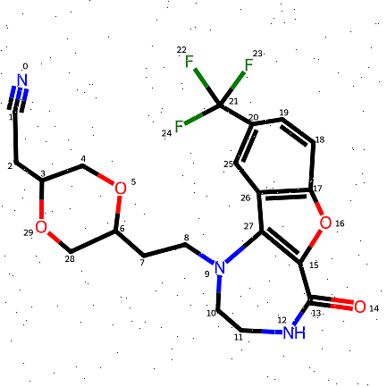 N#CCC1COC(CCN2CCNC(=O)c3oc4ccc(C(F)(F)F)cc4c32)CO1